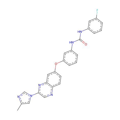 Cc1cn(-c2cnc3ccc(Oc4cccc(NC(=O)Nc5cccc(F)c5)c4)cc3n2)cn1